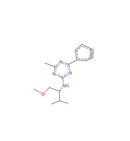 COCC(Nc1nc(C)nc(-c2cc#ccc2)n1)C(C)C